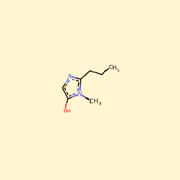 CCCc1ncc(O)n1C